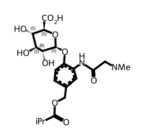 CNCC(=O)Nc1cc(COC(=O)C(C)C)ccc1O[C@@H]1O[C@H](C(=O)O)[C@@H](O)[C@H](O)[C@H]1O